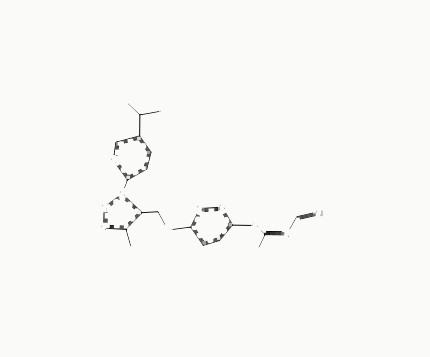 C/C(=N/C=N)Nc1ccc(OCc2c(C)nnn2-c2ccc(C(F)F)cn2)nn1